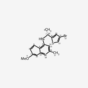 COc1ccc2c(N[C@H](C)c3cc(Br)cs3)cc(C)nc2c1